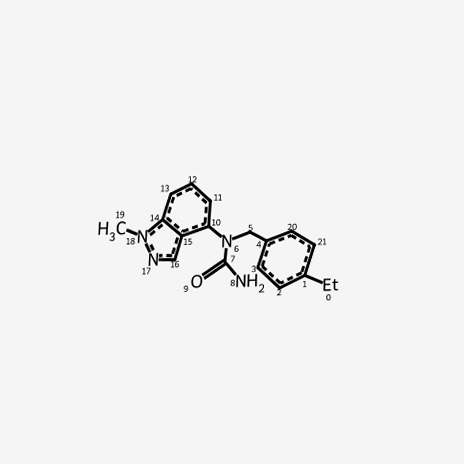 CCc1ccc(CN(C(N)=O)c2cccc3c2cnn3C)cc1